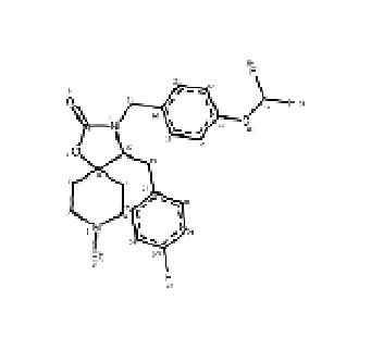 CCN1CCC2(CC1)OC(=O)N(Cc1ccc(OC(F)F)cc1)C2Cc1ccc(F)cc1